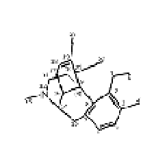 CCc1c(C)ccc2c1[C@@]13CCN(C)C(C2)C1CC=C(C)C3C